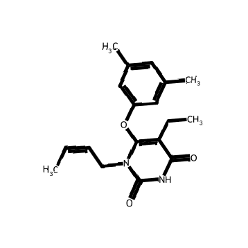 C/C=C\Cn1c(Oc2cc(C)cc(C)c2)c(CC)c(=O)[nH]c1=O